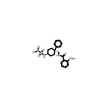 CCN(CC)S(=O)(=O)N[C@H]1CC[C@@](CNC(=O)c2ccccc2OC)(c2ccccc2)CC1